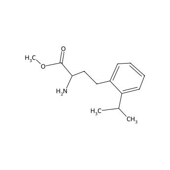 COC(=O)C(N)CCc1ccccc1C(C)C